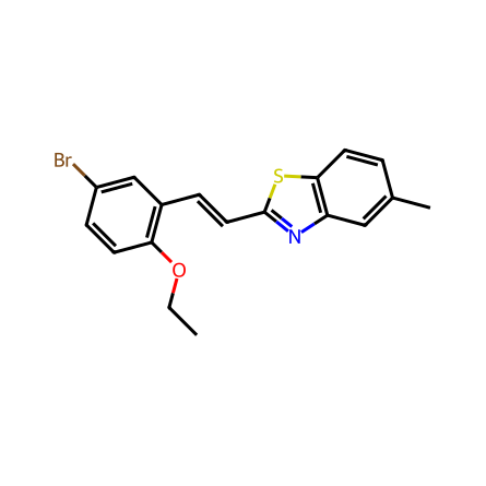 CCOc1ccc(Br)cc1C=Cc1nc2cc(C)ccc2s1